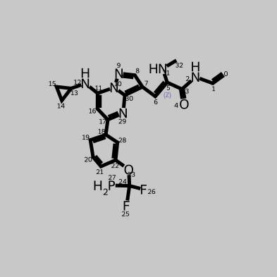 C=CNC(=O)/C(=C/c1cnn2c(NC3CC3)cc(-c3cccc(OC(F)(F)P)c3)nc12)NC